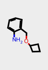 Nc1ccccc1COC1CCC1